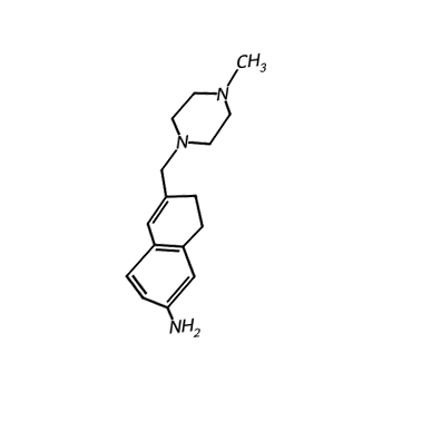 CN1CCN(CC2=Cc3ccc(N)cc3CC2)CC1